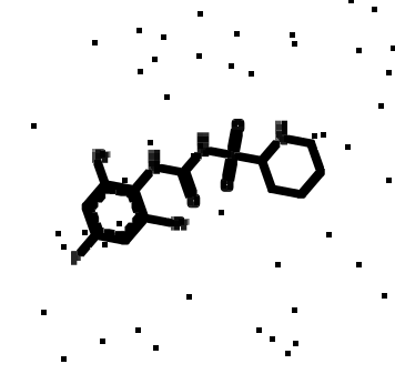 CC(C)c1cc(F)cc(C(C)C)c1NC(=O)NS(=O)(=O)C1CCCCN1